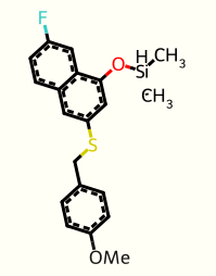 COc1ccc(CSc2cc(O[SiH](C)C)c3cc(F)ccc3c2)cc1